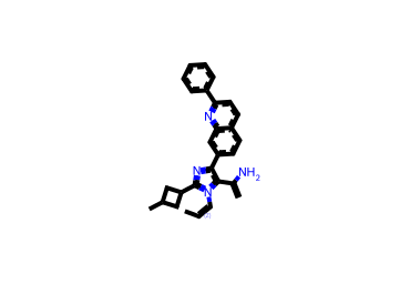 C=C(N)c1c(-c2ccc3ccc(-c4ccccc4)nc3c2)nc(C2CC(C)C2)n1/C=C\C